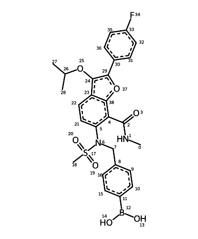 CNC(=O)c1c(N(Cc2ccc(B(O)O)cc2)S(C)(=O)=O)ccc2c(OC(C)C)c(-c3ccc(F)cc3)oc12